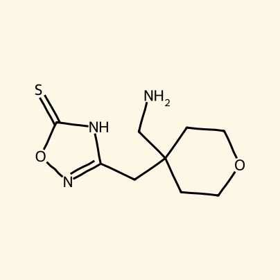 NCC1(Cc2noc(=S)[nH]2)CCOCC1